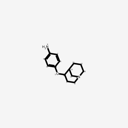 Nc1ccc(OC2CCN3CCCC2C3)cc1